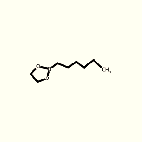 CCCCCCB1OCCO1